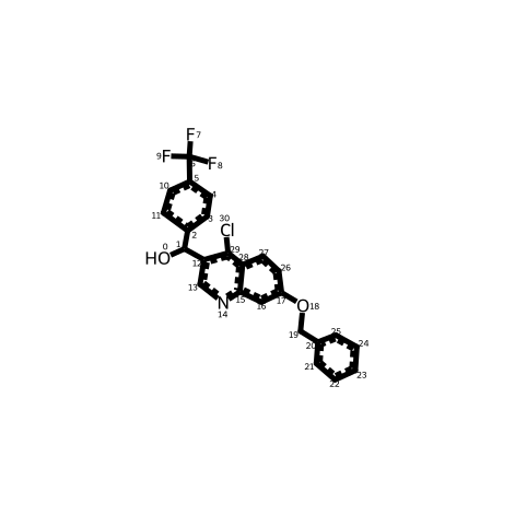 OC(c1ccc(C(F)(F)F)cc1)c1cnc2cc(OCc3ccccc3)ccc2c1Cl